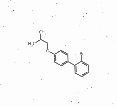 CC(C)COc1ccc(-c2ccccc2Br)cc1